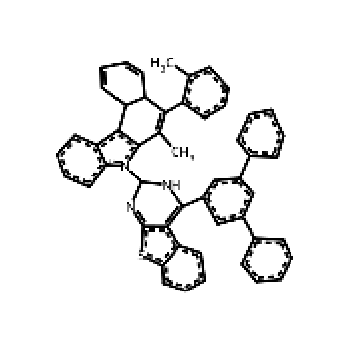 CC1=C(c2ccccc2C)C2C=CC=CC2c2c1n(C1N=c3sc4ccccc4c3=C(c3cc(-c4ccccc4)cc(-c4ccccc4)c3)N1)c1ccccc21